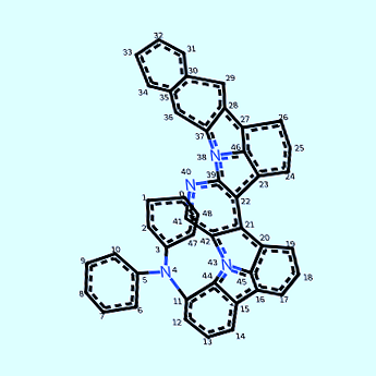 c1ccc(N(c2ccccc2)c2cccc3c4cccc5c6c7c8cccc9c%10cc%11ccccc%11cc%10n(c7ncc6n(c23)c45)c98)cc1